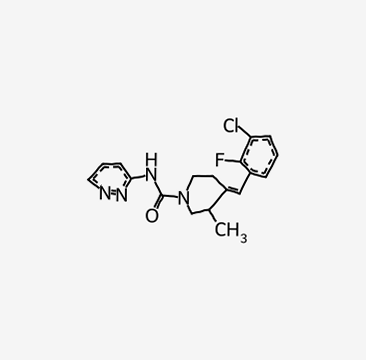 CC1CN(C(=O)Nc2cccnn2)CCC1=Cc1cccc(Cl)c1F